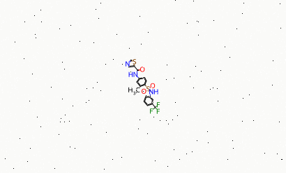 Cc1cc(NC(=O)c2cncs2)ccc1S(=O)(=O)Nc1cccc(C(F)(F)F)c1